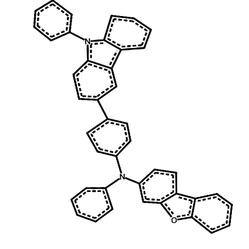 c1ccc(N(c2ccc(-c3ccc4c(c3)c3ccccc3n4-c3ccccc3)cc2)c2ccc3c(c2)oc2ccccc23)cc1